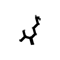 C=C(CCCN)C(C)C